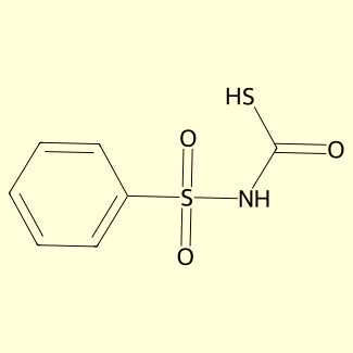 O=C(S)NS(=O)(=O)c1ccccc1